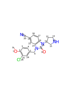 COc1ccc(Cn2c(=O)n(C3CCNC3)c3ccc(C#N)cc32)cc1Cl